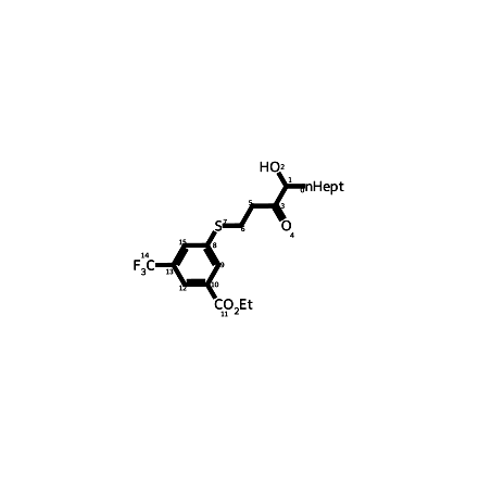 CCCCCCCC(O)C(=O)CCSc1cc(C(=O)OCC)cc(C(F)(F)F)c1